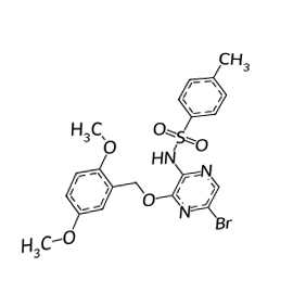 COc1ccc(OC)c(COc2nc(Br)cnc2NS(=O)(=O)c2ccc(C)cc2)c1